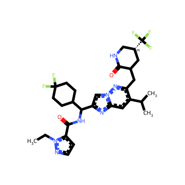 CCn1nccc1C(=O)NC(c1cn2nc(CC3C[C@@H](C(F)(F)F)CNC3=O)c(C(C)C)cc2n1)C1CCC(F)(F)CC1